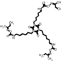 CCC(C)=NOC(=O)NCCCCCCn1c(=O)n(CCCCCCNC(=O)ON=C(C)CC)c(=O)n(CCCCCCNC(=O)ON=C(C)CC)c1=O